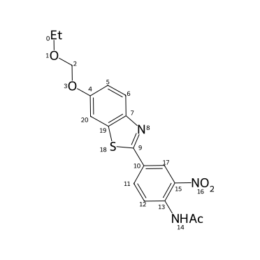 CCOCOc1ccc2nc(-c3ccc(NC(C)=O)c([N+](=O)[O-])c3)sc2c1